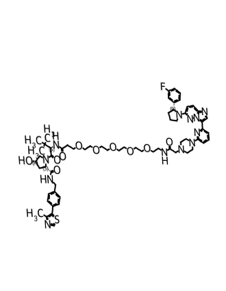 Cc1ncsc1-c1ccc(CNC(=O)[C@@H]2C[C@@H](O)CN2C(=O)[C@@H](NC(=O)CCOCCOCCOCCOCCOCCNC(=O)CN2CCN(c3cccc(-c4cnc5ccc(N6CCC[C@@H]6c6cccc(F)c6)nn45)n3)CC2)C(C)(C)C)cc1